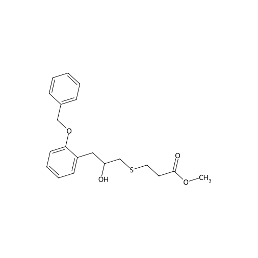 COC(=O)CCSCC(O)Cc1ccccc1OCc1ccccc1